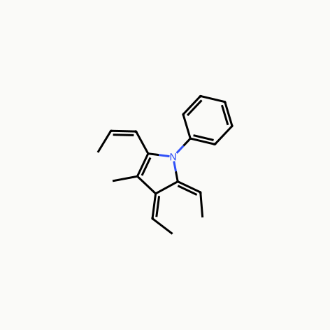 C/C=C\c1c(C)c(=C/C)/c(=C\C)n1-c1ccccc1